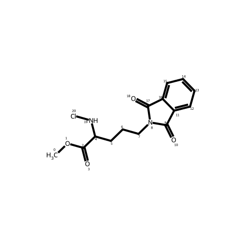 COC(=O)C(CCCN1C(=O)c2ccccc2C1=O)NCl